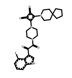 O=C(C(=O)N1CCN(c2c(N3CCC4(CCCC4)CC3)c(=O)c2=O)CC1)c1c[nH]c2cccc(F)c12